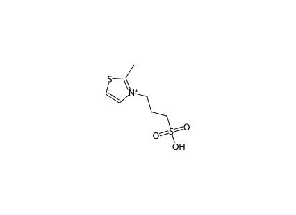 Cc1scc[n+]1CCCS(=O)(=O)O